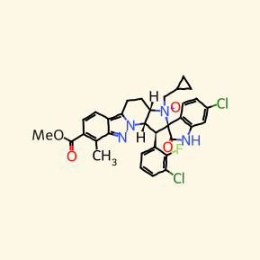 COC(=O)c1ccc2c3n(nc2c1C)[C@H]1[C@H](c2cccc(Cl)c2F)[C@]2(C(=O)Nc4cc(Cl)ccc42)[N+]([O-])(CC2CC2)[C@H]1CC3